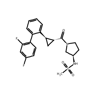 CS(=O)(=O)N[C@@H]1CCN(C(=O)[C@@H]2C[C@H]2c2ccccc2-c2ccc(F)cc2F)C1